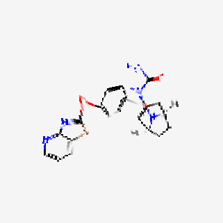 NC(=O)N[C@H]1C[C@H]2CC[C@@H](C1)N2Cc1ccc(Oc2nc3ncccc3s2)cc1